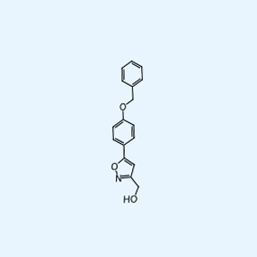 OCc1cc(-c2ccc(OCc3ccccc3)cc2)on1